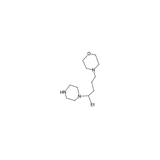 [CH2]CC(CCCN1CCOCC1)N1CCNCC1